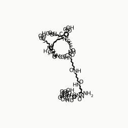 CC1=NN(CCCSOOO)/C2=C/C=C/C=C/C3=[N+](CCCCCC(=O)NC(C(=O)NCCCCCC(=O)NCCCCCC(=O)NC/C=C/c4cn([C@H]5C[C@@H](O)[C@@H](COP(=O)(O)OP(=O)(O)OP(=O)(O)O)O5)c(=O)nc4N)CCCCNC(=O)CCC12C)c1ccc(S(=O)(=O)O)cc1C3(C)CCCSOOO